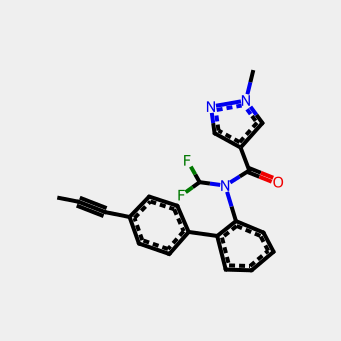 CC#Cc1ccc(-c2ccccc2N(C(=O)c2cnn(C)c2)C(F)F)cc1